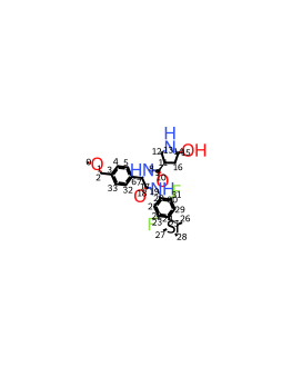 COCc1ccc([C@@H](NC(=O)[C@H]2CNC(O)C2)C(=O)Nc2cc(F)c([Si](C)(C)C)cc2F)cc1